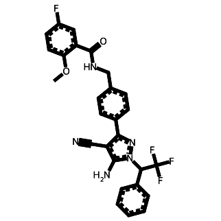 COc1ccc(F)cc1C(=O)NCc1ccc(-c2nn(C(c3ccccc3)C(F)(F)F)c(N)c2C#N)cc1